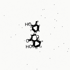 Cc1ccc([C@H]2CC(=O)c3c(O)cccc3O2)cc1O